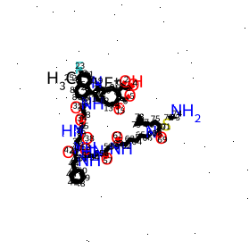 CC[C@@]1(O)C(=O)OCC2=C1/C=C1\CC(CC2=O)Cc2c1nc1cc(F)c(C)c3c1c2[C@@H](NC(=O)COCNC(=O)CNC(=O)C(Cc1ccccc1)NC(=O)CNC(=O)CNC(=O)CCCCCN1C(=O)C(SCCN)CC1=C1CC1)CC3